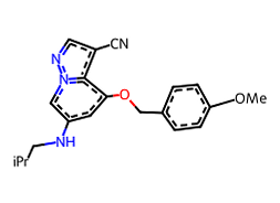 COc1ccc(COc2cc(NCC(C)C)cn3ncc(C#N)c23)cc1